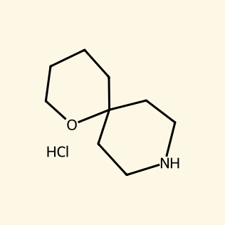 C1CCC2(CCNCC2)OC1.Cl